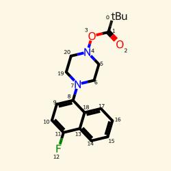 CC(C)(C)C(=O)ON1CCN(c2ccc(F)c3ccccc23)CC1